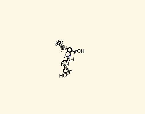 C=N/C(=C\c1c([C@H](C)CO)ccc(N2C[C@H](CS(C)(=O)=O)[C@H]2C)c1C)Nc1ccnc(N2CC[C@@](C)(O)[C@@H](F)C2)n1